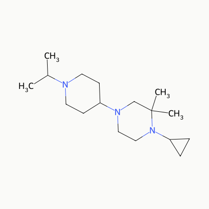 CC(C)N1CCC(N2CCN(C3CC3)C(C)(C)C2)CC1